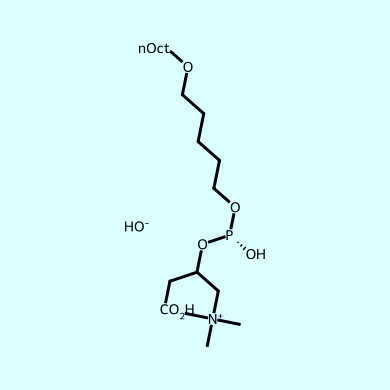 CCCCCCCCOCCCCCO[P@](O)OC(CC(=O)O)C[N+](C)(C)C.[OH-]